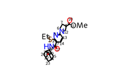 CCSc1nc(N2CCC(C(=O)OC)C2)ccc1C(=O)NC1C2CC3CC(C2)CC1C3